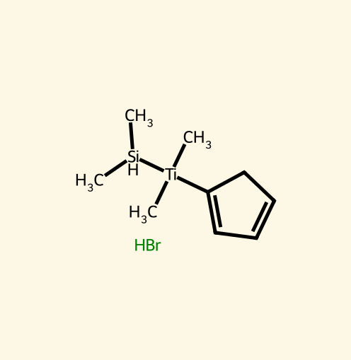 Br.C[SiH](C)[Ti]([CH3])([CH3])[C]1=CC=CC1